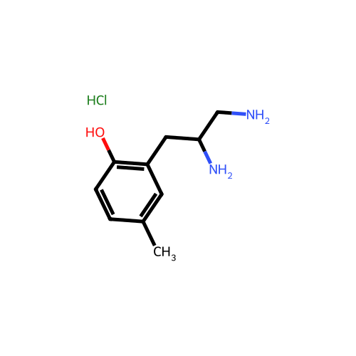 Cc1ccc(O)c(CC(N)CN)c1.Cl